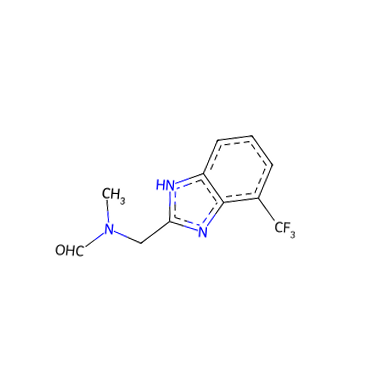 CN(C=O)Cc1nc2c(C(F)(F)F)cccc2[nH]1